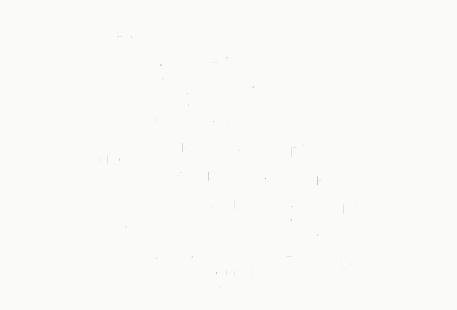 CCC(F)(F)C(F)(F)C(F)(F)C(F)(F)C(F)(F)C(F)(F)C(F)(F)C(F)(F)F.O=C(O)c1ccc(O)cc1